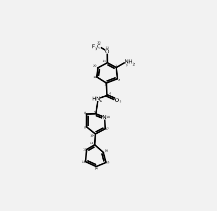 Nc1cc(C(=O)Nc2ccc(-c3ccccc3)cn2)ccc1OC(F)(F)F